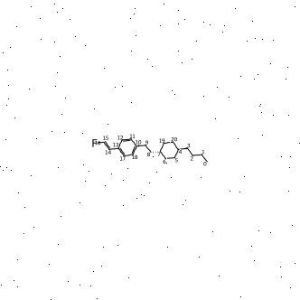 CCCC[C@H]1CC[C@H](CCc2ccc(C=CF)cc2)CC1